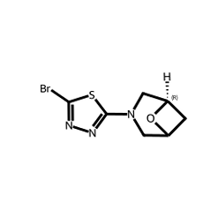 Brc1nnc(N2CC3C[C@H](C2)O3)s1